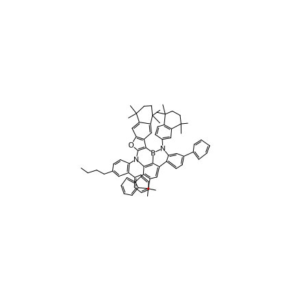 CCCCc1ccc(N2c3oc4cc5c(cc4c3B3c4c(cc6c(c42)-c2ccccc2C6(C)C)-c2ccc(-c4ccccc4)cc2N3c2ccc3c(c2)C(C)(C)CCC3(C)C)C(C)(C)CCC5(C)C)c(-c2ccccc2)c1